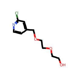 OCCOCCOCc1ccnc(Cl)c1